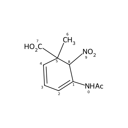 CC(=O)NC1=CC=CC(C)(C(=O)O)C1[N+](=O)[O-]